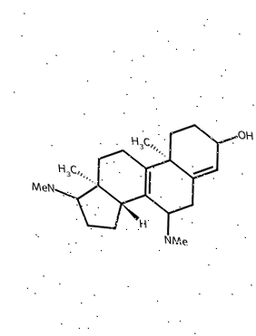 CNC1CC2=CC(O)CC[C@]2(C)C2=C1[C@@H]1CCC(NC)[C@@]1(C)CC2